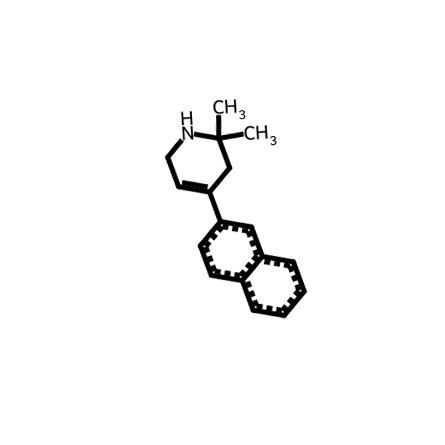 CC1(C)CC(c2ccc3ccccc3c2)=CCN1